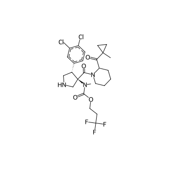 CN(C(=O)OCCC(F)(F)F)[C@@]1(C(=O)N2CCCCC2C(=O)C2(C)CC2)CNC[C@@H]1c1ccc(Cl)c(Cl)c1